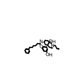 C=CCN1CC[C@@]2(c3cccc(O)c3)C[C@H](N(C)C(=O)CCCCCc3ccccc3)CC[C@]2(O)C1